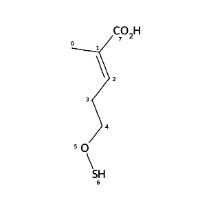 CC(=CCCOS)C(=O)O